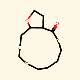 O=C1CCCCCCCCCC2OCCC12